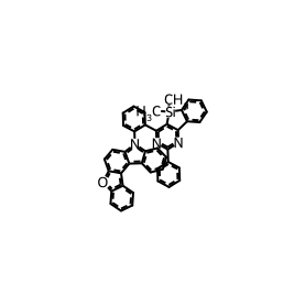 C[Si]1(C)c2ccccc2-c2nc(-c3ccccc3)nc(-c3ccccc3-n3c4ccccc4c4c5c(ccc43)oc3ccccc35)c21